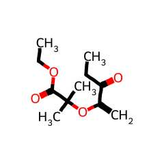 C=C(OC(C)(C)C(=O)OCC)C(=O)CC